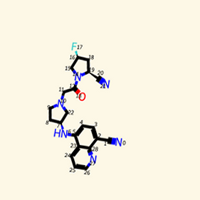 N#Cc1ccc(N[C@H]2CCN(CC(=O)N3C[C@@H](F)C[C@H]3C#N)C2)c2cccnc12